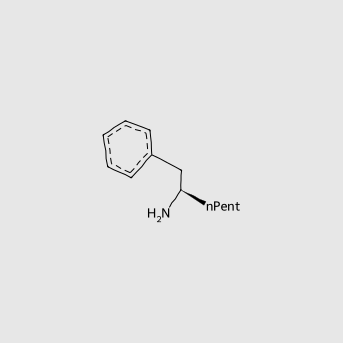 CCCCC[C@@H](N)Cc1ccccc1